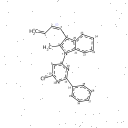 C=C/C=C\c1c(C)n(-c2cc(Cl)nc(-c3ccccc3)n2)c2ccccc12